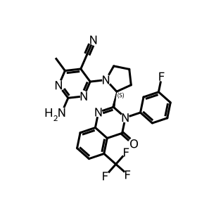 Cc1nc(N)nc(N2CCC[C@H]2c2nc3cccc(C(F)(F)F)c3c(=O)n2-c2cccc(F)c2)c1C#N